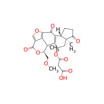 COC[C@H]1OC(=O)c2coc3c2[C@@]1(C)C1=C(C3=O)[C@@H]2CCC(=O)[C@@]2(C)C[C@H]1OC(=O)CC(=O)O